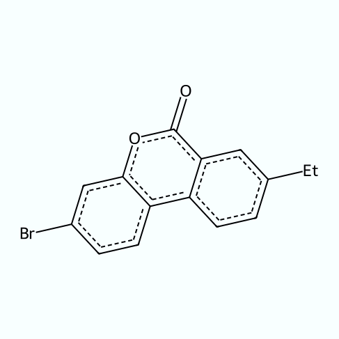 CCc1ccc2c(c1)c(=O)oc1cc(Br)ccc12